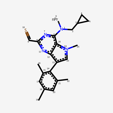 CCCN(CC1CC1)c1nc(C=S)nc2c(-c3c(C)cc(C)cc3C)cn(C)c12